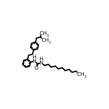 CCCCCCCCCCCNC(=O)Nc1ccccc1CCc1ccc(CC(C)C)cc1